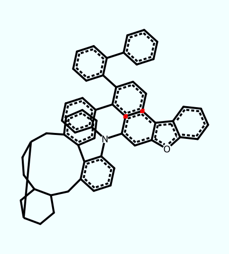 c1ccc(-c2ccccc2-c2ccccc2-c2ccccc2N(c2ccc3c(c2)oc2ccccc23)c2cccc3c2-c2ccccc2CC2CCC4CC2CCC4C3)cc1